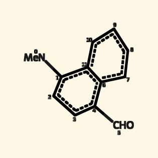 CNc1ccc(C=O)c2ccccc12